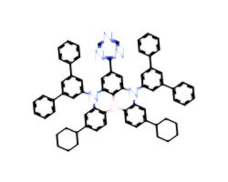 c1ccc(-c2cc(-c3ccccc3)cc(N3c4cc(C5CCCCC5)ccc4B4c5ccc(C6CCCCC6)cc5N(c5cc(-c6ccccc6)cc(-c6ccccc6)c5)c5cc(-c6ncncn6)cc3c54)c2)cc1